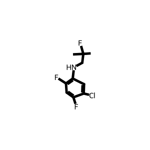 CC(C)(F)CNc1cc(Cl)c(F)cc1F